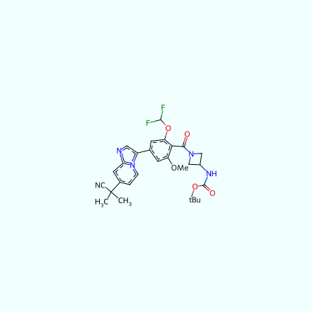 COc1cc(-c2cnc3cc(C(C)(C)C#N)ccn23)cc(OC(F)F)c1C(=O)N1CC(NC(=O)OC(C)(C)C)C1